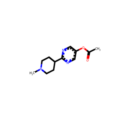 CC(=O)Oc1cnc(C2CCN(C)CC2)nc1